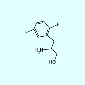 NC(CO)Cc1cc(F)ccc1F